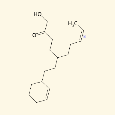 C/C=C\CCC(CCC(=O)CO)CCC1C=CCCC1